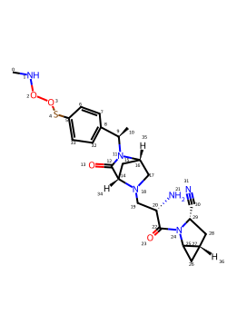 CNOOSc1ccc([C@@H](C)N2C(=O)[C@@H]3C[C@H]2CN3C[C@H](N)C(=O)N2C3C[C@H]3C[C@H]2C#N)cc1